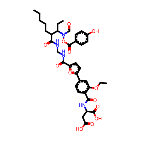 CCCCCC(C(=O)NCNC(=O)c1ccc(-c2ccc(C(=O)NC(CC(=O)O)C(=O)O)c(OCC)c2)o1)C(CC)N(C=O)OC(=O)c1ccc(O)cc1